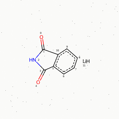 O=C1NC(=O)c2ccccc21.[LiH]